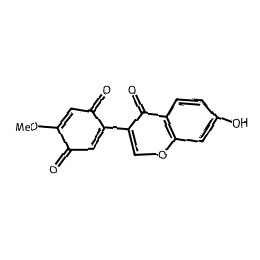 COC1=CC(=O)C(c2coc3cc(O)ccc3c2=O)=CC1=O